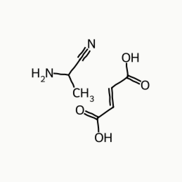 CC(N)C#N.O=C(O)C=CC(=O)O